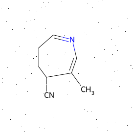 CC1=CN=CCCC1C#N